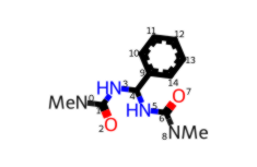 CNC(=O)NC(NC(=O)NC)c1ccccc1